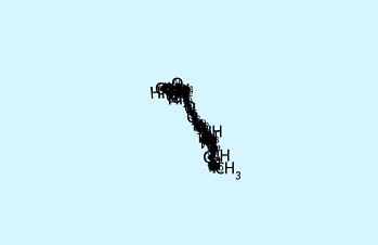 Cc1cccc(C(=O)NC2CC(n3cnc4c(NC5CCN(CCOCCOCCNc6cccc7c6C(=O)N([C@H]6CCC(=O)NC6=O)C7=O)CC5)ncnc43)C2)n1